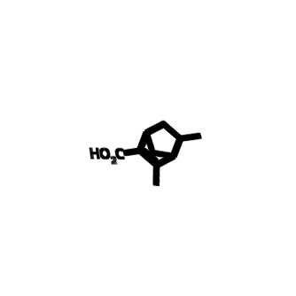 CC1=C(C(=O)O)C2CC(C)C1C2